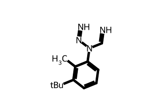 Cc1c(N(C=N)N=N)cccc1C(C)(C)C